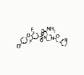 NC(=O)[C@H]1CN(C(=O)Cc2cccnc2)CCN1S(=O)(=O)c1cc(F)c(Oc2ccc(Cl)cc2)c(F)c1